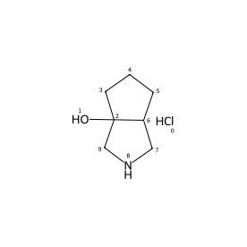 Cl.OC12CCCC1CNC2